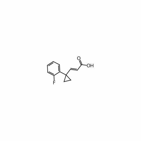 O=C(O)/C=C/C1(c2ccccc2F)CC1